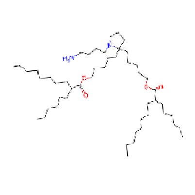 CCCCCCCCC(CCCCCC)C(=O)OCCCCCC1(CCCCCOC(=O)C(CCCCCC)CCCCCCCC)CCCN1CCCCN